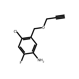 C#CCOCc1cc(N)c(F)cc1Cl